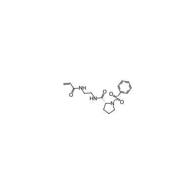 C=CC(=O)NCCNC(=O)[C@H]1CCCN1S(=O)(=O)c1ccccc1